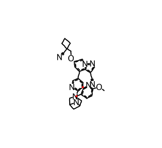 COc1ccc(CN2C3CC2CN(c2ccc(-c4cc(OCC5(C#N)CCC5)cn5ncc(C#N)c45)cn2)C3)cn1